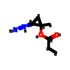 CCC(=O)OC1(C)CC1=[N+]=[N-]